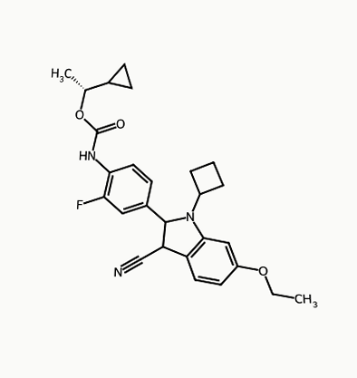 CCOc1ccc2c(c1)N(C1CCC1)C(c1ccc(NC(=O)O[C@H](C)C3CC3)c(F)c1)C2C#N